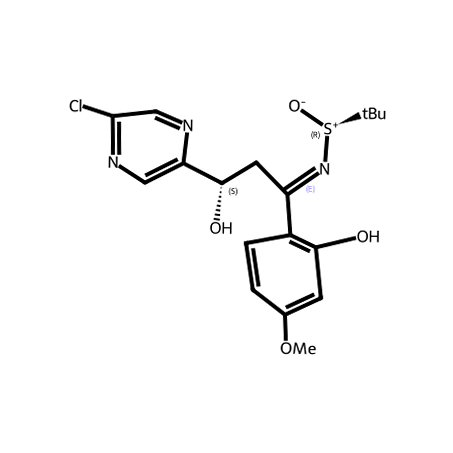 COc1ccc(/C(C[C@H](O)c2cnc(Cl)cn2)=N/[S@@+]([O-])C(C)(C)C)c(O)c1